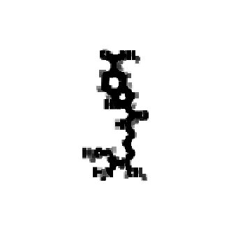 CN=C(N)N(C)CCCNC(=O)c1cc2cc(C(N)=O)ccc2[nH]1